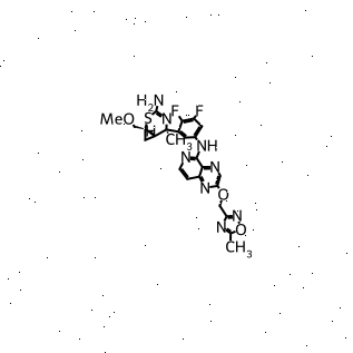 COC[C@]12C[C@H]1[C@](C)(c1cc(Nc3nccc4nc(OCc5noc(C)n5)cnc34)cc(F)c1F)N=C(N)S2